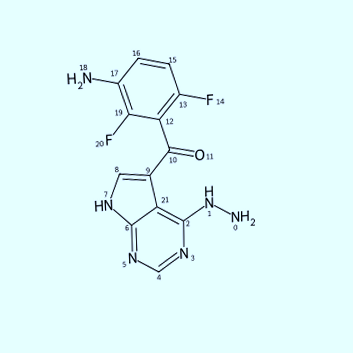 NNc1ncnc2[nH]cc(C(=O)c3c(F)ccc(N)c3F)c12